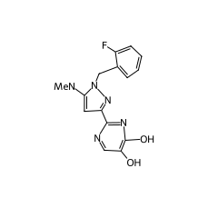 CNc1cc(-c2ncc(O)c(O)n2)nn1Cc1ccccc1F